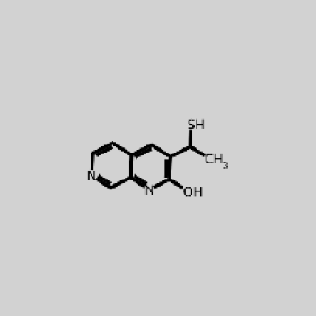 CC(S)c1cc2ccncc2nc1O